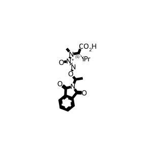 CC(C)[C@@H](C(=O)O)N(C)[N+]([O-])=NOC(C)N1C(=O)c2ccccc2C1=O